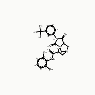 O=C1C2C[N@@]3CC(C(=S)Nc4c(F)cccc4F)[N+]2(C3)C(=O)N1c1cccc(C(F)(F)F)c1